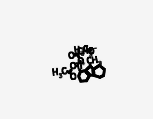 CC(=O)[O][Ti+]([O]C(C)=O)[CH]1CCCC2=C1C(C)C1=C2CCCC1.C[O-]